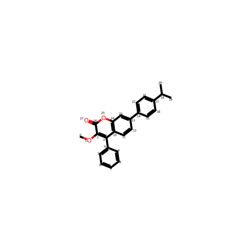 COc1c(-c2ccccc2)c2ccc(-c3ccc(C(C)C)cc3)cc2oc1=O